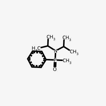 CC(C)N(C(C)C)P(C)(=O)c1ccccc1